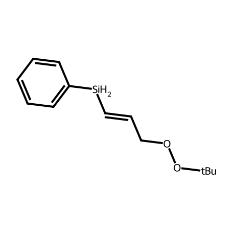 CC(C)(C)OOCC=C[SiH2]c1ccccc1